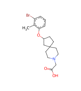 Cc1c(Br)cccc1OC1CCC2(CCN(CC(=O)O)CC2)C1